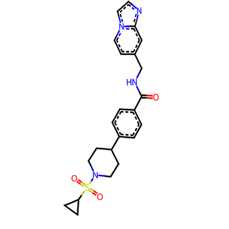 O=C(NCc1ccn2ccnc2c1)c1ccc(C2CCN(S(=O)(=O)C3CC3)CC2)cc1